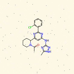 CC(=O)N1CCCCC1c1cc(Nc2n[nH]c(C)n2)nc(-c2ccccc2Cl)n1